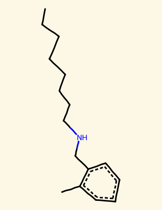 CCCCCCCCNCc1ccccc1C